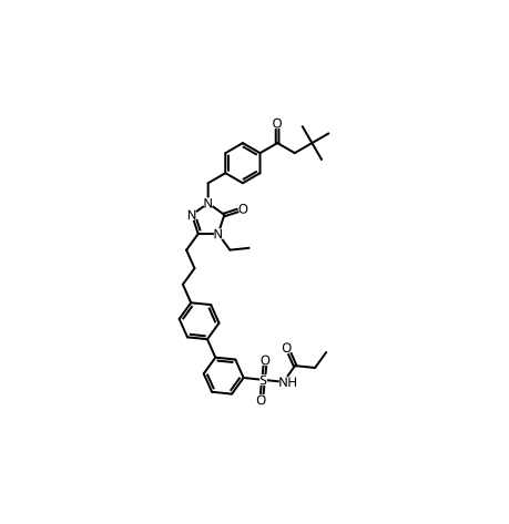 CCC(=O)NS(=O)(=O)c1cccc(-c2ccc(CCCc3nn(Cc4ccc(C(=O)CC(C)(C)C)cc4)c(=O)n3CC)cc2)c1